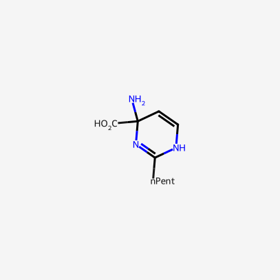 CCCCCC1=NC(N)(C(=O)O)C=CN1